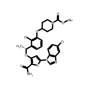 C[C@@H](Oc1cc(-n2cnc3cc(Cl)ccc32)sc1C(N)=O)c1cccc(OC2CCN(C(=O)OC(C)(C)C)CC2)c1Cl